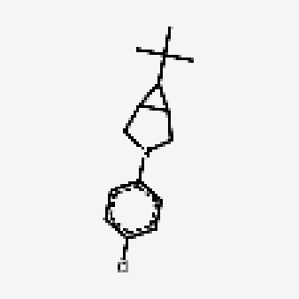 CC(C)(C)C1C2CN(c3ccc(Cl)cc3)CC21